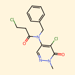 Cn1ncc(N(Cc2ccccc2)C(=O)CCCl)c(Cl)c1=O